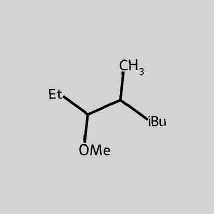 CCC(C)C(C)C(CC)OC